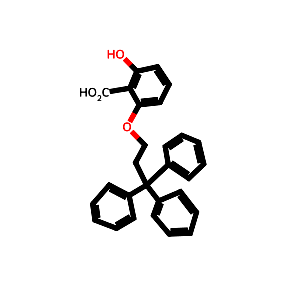 O=C(O)c1c(O)cccc1OCCC(c1ccccc1)(c1ccccc1)c1ccccc1